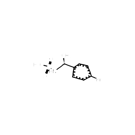 C[C@H](NS(C)(=O)=O)c1ccc(Br)cc1